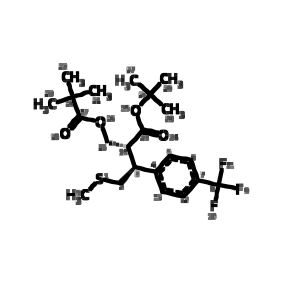 CSC[C@H](c1ccc(C(F)(F)F)cc1)[C@H](COC(=O)C(C)(C)C)C(=O)OC(C)(C)C